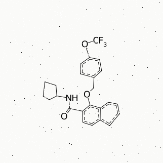 O=C(NC1CCCC1)c1ccc2ccccc2c1OCc1ccc(OC(F)(F)F)cc1